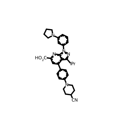 CC(C)c1nn(-c2cccc(N3CCCC3)c2)c2nc(C(=O)O)cc(-c3ccc(N4CCC(C#N)CC4)cc3)c12